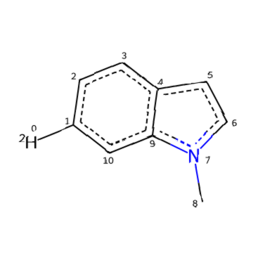 [2H]c1ccc2ccn(C)c2c1